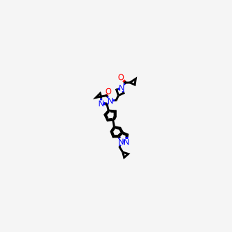 O=C(C1CC1)N1CC(CN2C(=O)C3(CC3)N=C2c2ccc(-c3ccc4c(cnn4CC4CC4)c3)cc2)C1